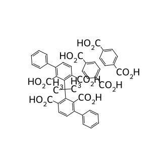 CC(C)(c1c(C(=O)O)ccc(-c2ccccc2)c1C(=O)O)c1c(C(=O)O)ccc(-c2ccccc2)c1C(=O)O.O=C(O)c1ccc(C(=O)O)cc1.O=C(O)c1ccc(C(=O)O)cc1